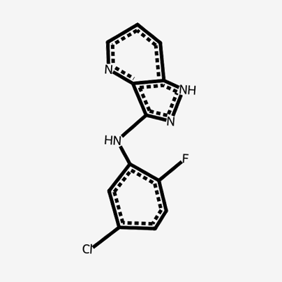 Fc1ccc(Cl)cc1Nc1n[nH]c2cccnc12